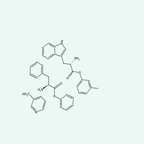 Cc1cccc(OC(=O)[C@@H](N)Cc2c[nH]c3ccccc23)c1.N[C@@H](Cc1ccccc1)C(=O)Oc1ccccc1.O=C(O)c1cccnc1